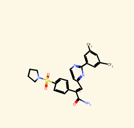 NC(=O)/C(=C/c1ccnc(-c2cc(C(F)(F)F)cc(C(F)(F)F)c2)n1)c1ccc(S(=O)(=O)N2CCCC2)cc1